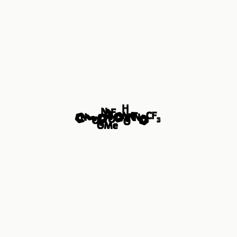 COc1cc2c(Oc3ccc(NC(=O)N4C=CN(c5cccc(C(F)(F)F)c5)C4)cc3F)ccnc2cc1OCCCN1CCCCC1